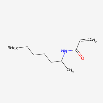 C=CC(=O)NC(C)CCCCCCCCCC